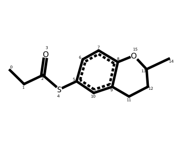 CCC(=O)Sc1ccc2c(c1)CCC(C)O2